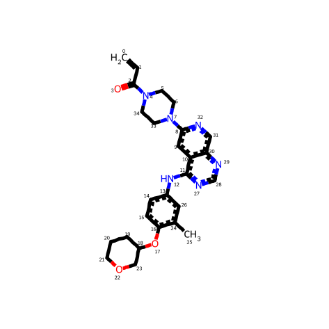 C=CC(=O)N1CCN(c2cc3c(Nc4ccc(OC5CCCOC5)c(C)c4)ncnc3cn2)CC1